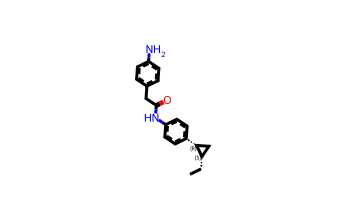 CC[C@H]1C[C@H]1c1ccc(NC(=O)Cc2ccc(N)cc2)cc1